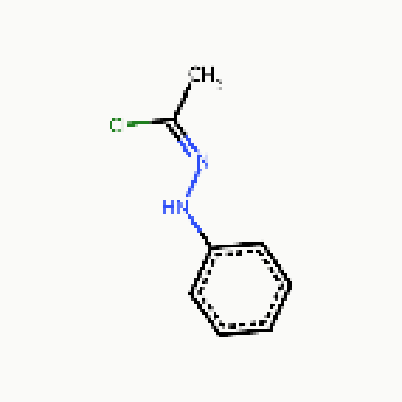 CC(Cl)=NNc1ccccc1